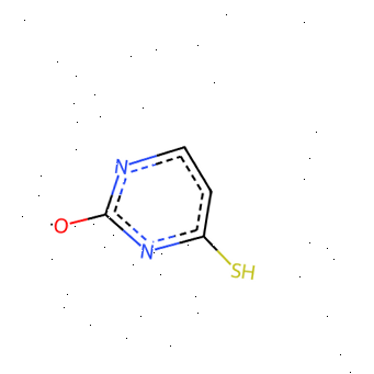 [O]c1nccc(S)n1